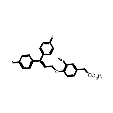 O=C(O)Cc1ccc(OCC=C(c2ccc(I)cc2)c2ccc(I)cc2)c(Br)c1